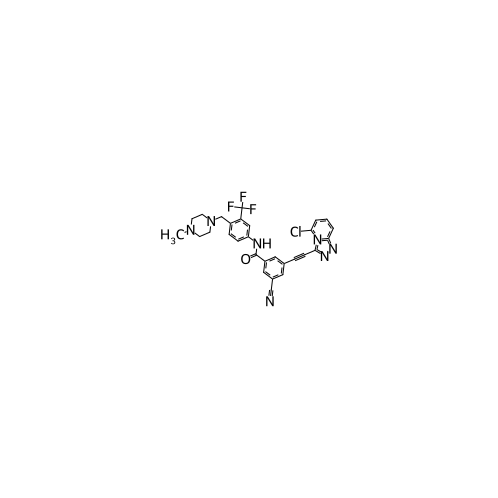 CN1CCN(Cc2ccc(NC(=O)c3cc(C#N)cc(C#Cc4nnc5cccc(Cl)n45)c3)cc2C(F)(F)F)CC1